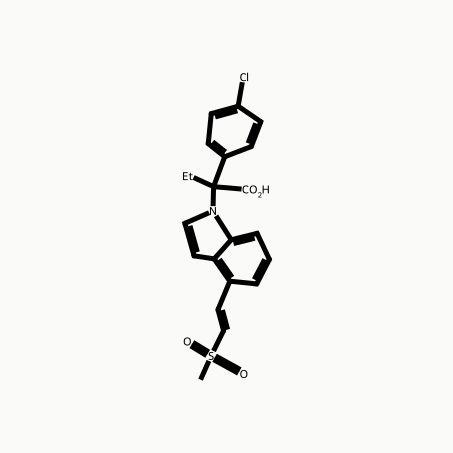 CCC(C(=O)O)(c1ccc(Cl)cc1)n1ccc2c(C=CS(C)(=O)=O)cccc21